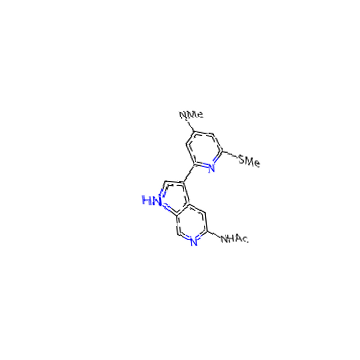 CNc1cc(SC)nc(-c2c[nH]c3cnc(NC(C)=O)cc23)c1